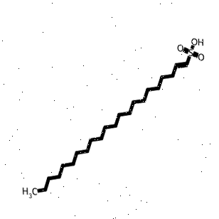 CCCCCCCCCCCCCCCCCCCC/C=C/S(=O)(=O)O